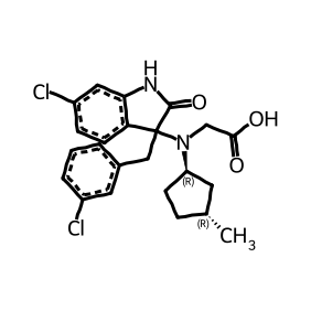 C[C@@H]1CC[C@@H](N(CC(=O)O)C2(Cc3cccc(Cl)c3)C(=O)Nc3cc(Cl)ccc32)C1